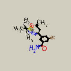 C=CC[C@H](N[S@+]([O-])C(C)(C)C)c1cc(Br)cc(C(N)=O)c1